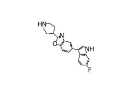 Fc1ccc2c(-c3ccc4oc(C5CCNCC5)nc4c3)c[nH]c2c1